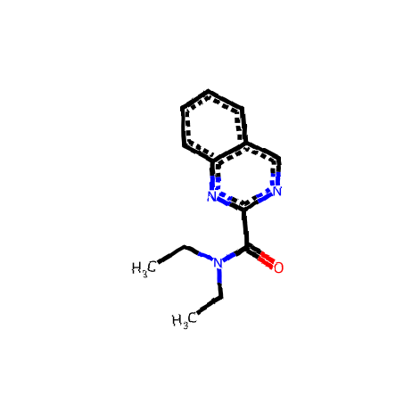 CCN(CC)C(=O)c1ncc2ccccc2n1